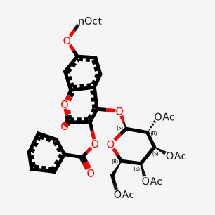 CCCCCCCCOc1ccc2c(O[C@@H]3O[C@H](COC(C)=O)[C@H](OC(C)=O)[C@H](OC(C)=O)[C@H]3OC(C)=O)c(OC(=O)c3ccccc3)c(=O)oc2c1